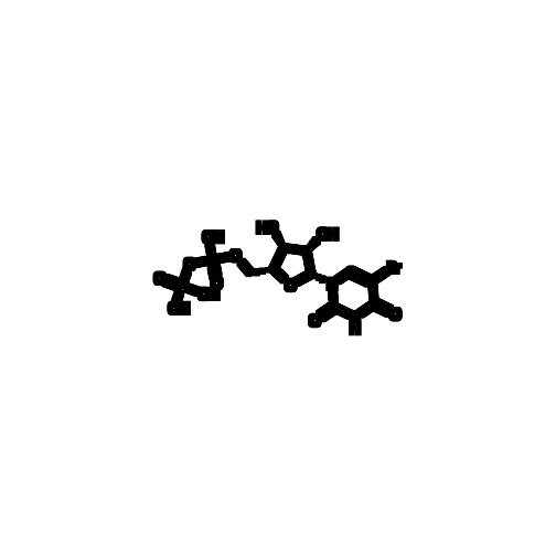 O=c1[nH]c(=O)n([C@@H]2O[C@H](COP(=O)(O)OP(=O)(O)O)[C@@H](O)[C@H]2O)cc1Br